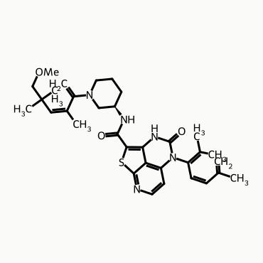 C=C(C)/C=C\C(=C(C)C)N1C(=O)Nc2c(C(=O)N[C@@H]3CCCN(C(=C)/C(C)=C\C(C)(C)COC)C3)sc3nccc1c23